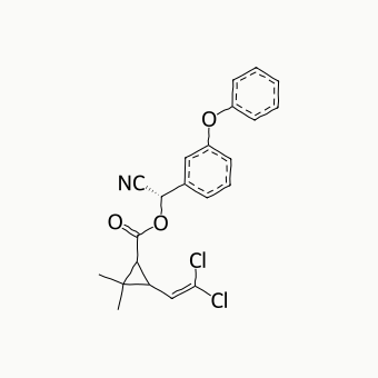 CC1(C)C(C=C(Cl)Cl)C1C(=O)O[C@H](C#N)c1cccc(Oc2ccccc2)c1